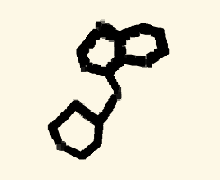 c1cnc2c(SC3CCOCC3)ncnc2c1